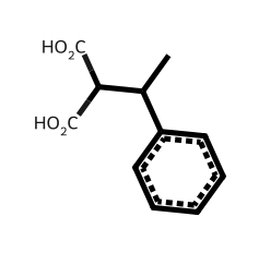 CC(c1ccccc1)C(C(=O)O)C(=O)O